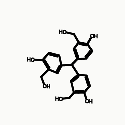 OCc1cc(C(c2ccc(O)c(CO)c2)c2ccc(O)c(CO)c2)ccc1O